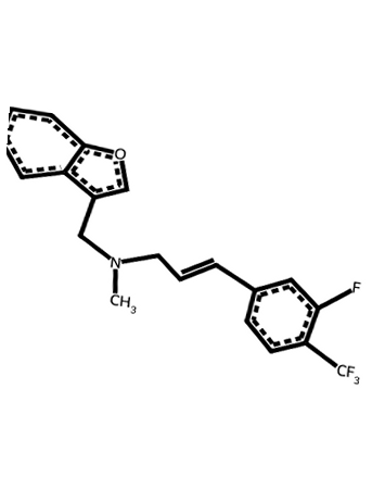 CN(C/C=C/c1ccc(C(F)(F)F)c(F)c1)Cc1coc2ccccc12